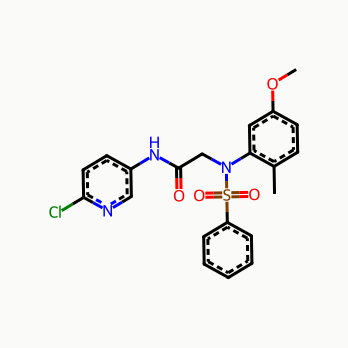 COc1ccc(C)c(N(CC(=O)Nc2ccc(Cl)nc2)S(=O)(=O)c2ccccc2)c1